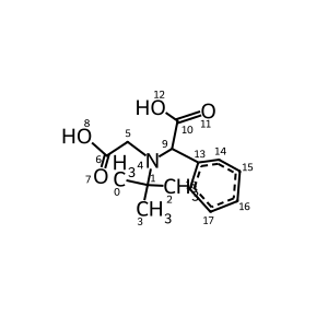 CC(C)(C)N(CC(=O)O)C(C(=O)O)c1ccccc1